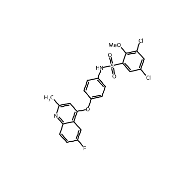 COc1c(Cl)cc(Cl)cc1S(=O)(=O)Nc1ccc(Oc2cc(C)nc3ccc(F)cc23)cc1